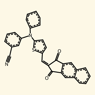 N#Cc1cccc(N(c2ccccc2)c2ccc(C=C3C(=O)c4cc5ccccc5cc4C3=O)s2)c1